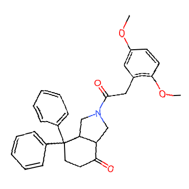 COc1ccc(OC)c(CC(=O)N2CC3C(=O)CCC(c4ccccc4)(c4ccccc4)C3C2)c1